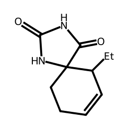 CCC1C=CCCC12NC(=O)NC2=O